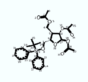 CC(=O)OC[C@@H]1[C@@H](CO[Si](c2ccccc2)(c2ccccc2)C(C)(C)C)OC(OC(C)=O)[C@@H]1OC(C)=O